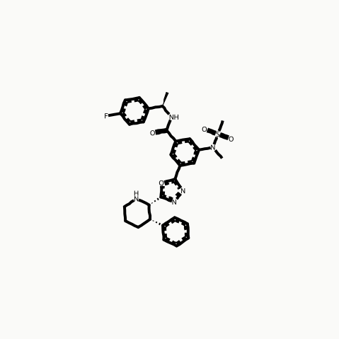 C[C@@H](NC(=O)c1cc(-c2nnc([C@H]3NCCC[C@H]3c3ccccc3)o2)cc(N(C)S(C)(=O)=O)c1)c1ccc(F)cc1